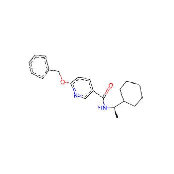 C[C@@H](NC(=O)c1ccc(OCc2ccccc2)nc1)C1CCCCC1